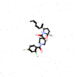 C=C(/C=C\C=C/C)[C@@H]1CC[C@H]2OC3(CCN(C(=O)c4ccc(F)cc4F)CC3)C(=O)N21